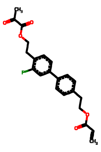 C=CC(=O)OCCc1ccc(-c2ccc(CCOC(=O)C(C)=O)c(F)c2)cc1